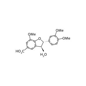 COc1ccc([C@H]2Oc3c(OC)cc(C(=O)O)cc3[C@@H]2C)cc1OC.O